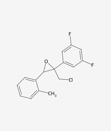 Cc1ccccc1C1OC1(CCl)c1cc(F)cc(F)c1